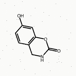 O=C1NCc2ccc(O)cc2O1